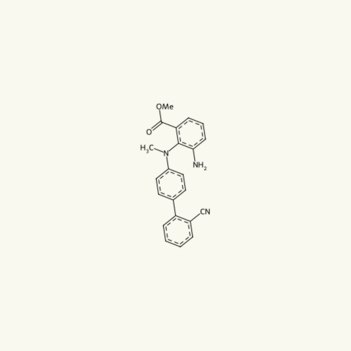 COC(=O)c1cccc(N)c1N(C)c1ccc(-c2ccccc2C#N)cc1